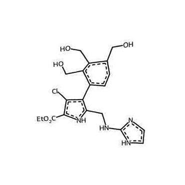 CCOC(=O)c1[nH]c(CNc2ncc[nH]2)c(-c2ccc(CO)c(CO)c2CO)c1Cl